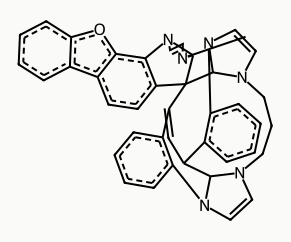 CN1C=CN2c3c(ccc4c3oc3ccccc34)C3(C4=CC5c6ccccc6N6C=CN(CCCN7C=CN(c8ccccc84)C57)C63)C12